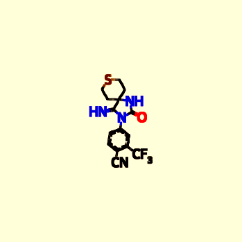 N#Cc1ccc(N2C(=N)C3(CCSCC3)NC2=O)cc1C(F)(F)F